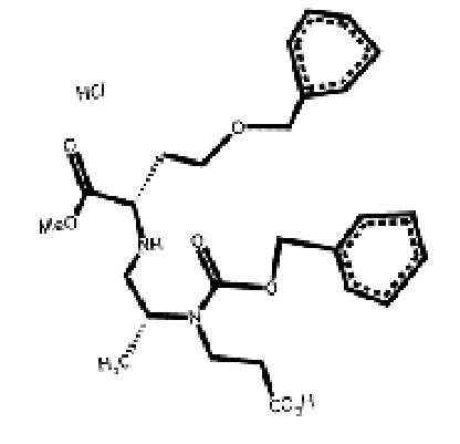 COC(=O)[C@H](CCOCc1ccccc1)NC[C@@H](C)N(CCC(=O)O)C(=O)OCc1ccccc1.Cl